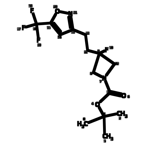 CC(C)(C)OC(=O)N1CC(F)(CCc2cc(C(F)(F)F)on2)C1